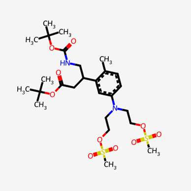 Cc1ccc(N(CCOS(C)(=O)=O)CCOS(C)(=O)=O)cc1C(CNC(=O)OC(C)(C)C)CC(=O)OC(C)(C)C